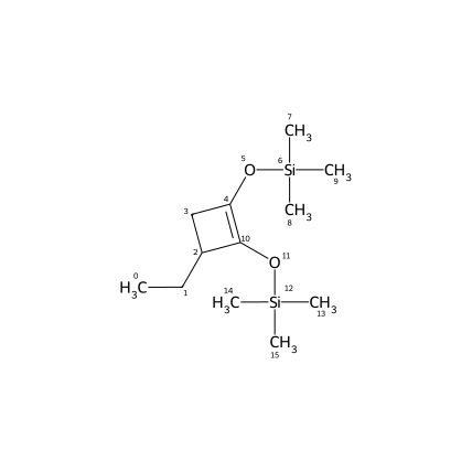 CCC1CC(O[Si](C)(C)C)=C1O[Si](C)(C)C